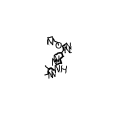 Cc1cc(Nc2cc3cc(-c4c(OCC5CCN5C)cnn4C)ccn3n2)nnc1C